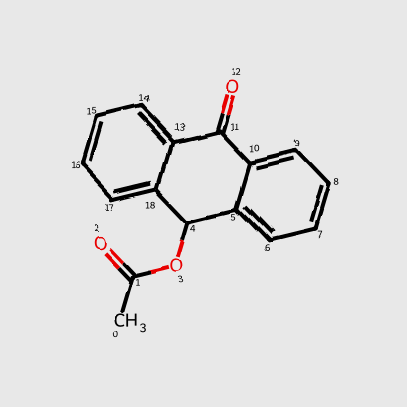 CC(=O)OC1c2ccccc2C(=O)c2ccccc21